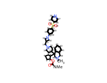 CNC(=O)OC1CCCC1C1(C2CCN(CC3CN(c4ccc(S(=O)(=O)c5ccncc5)cc4)C3)CC2)CN(C)Cc2ccccc21